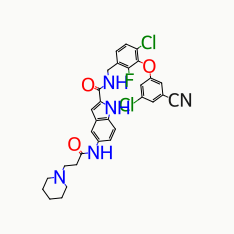 N#Cc1cc(Cl)cc(Oc2c(Cl)ccc(CNC(=O)c3cc4cc(NC(=O)CCN5CCCCC5)ccc4[nH]3)c2F)c1